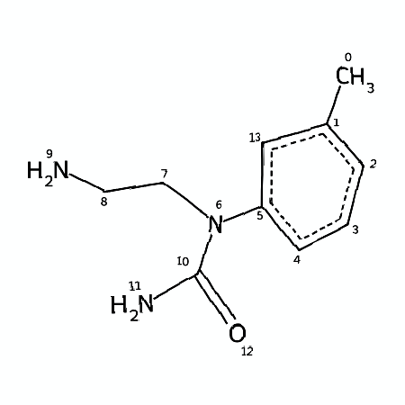 Cc1cccc(N(CCN)C(N)=O)c1